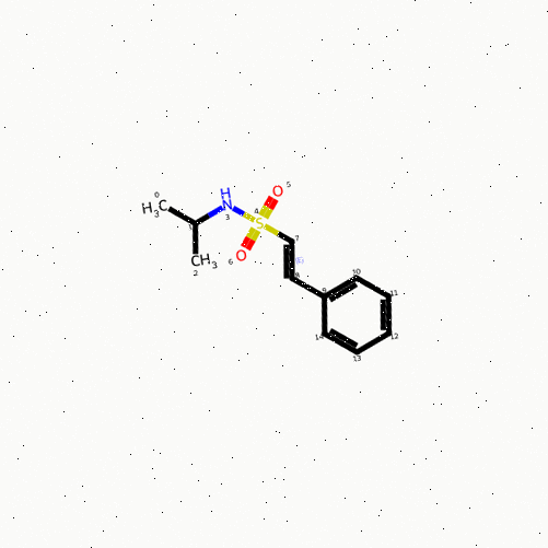 CC(C)NS(=O)(=O)/C=C/c1ccccc1